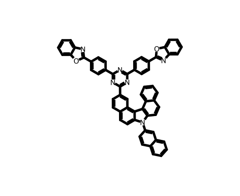 c1ccc2cc(-n3c4ccc5ccccc5c4c4c5cc(-c6nc(-c7ccc(-c8nc9ccccc9o8)cc7)nc(-c7ccc(-c8nc9ccccc9o8)cc7)n6)ccc5ccc43)ccc2c1